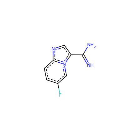 N=C(N)c1cnc2ccc(F)cn12